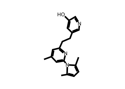 Cc1cc(CCc2cncc(O)c2)nc(-n2c(C)ccc2C)c1